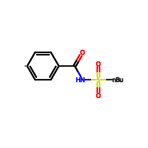 CCCCS(=O)(=O)NC(=O)c1cc[c]cc1